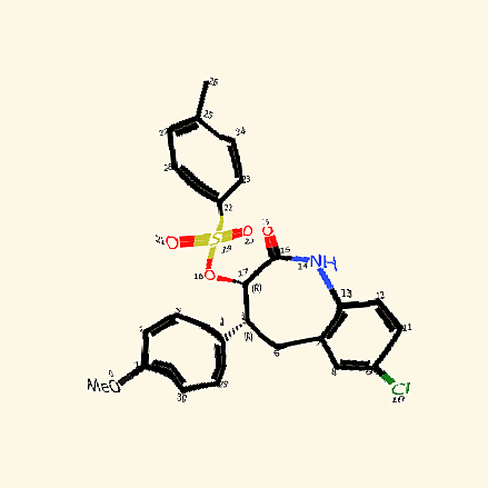 COc1ccc([C@H]2Cc3cc(Cl)ccc3NC(=O)[C@@H]2OS(=O)(=O)c2ccc(C)cc2)cc1